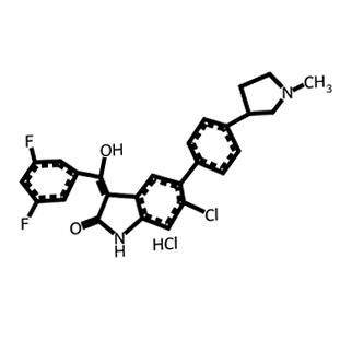 CN1CCC(c2ccc(-c3cc4c(cc3Cl)NC(=O)C4=C(O)c3cc(F)cc(F)c3)cc2)C1.Cl